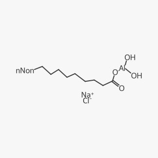 CCCCCCCCCCCCCCCCCC(=O)[O][Al]([OH])[OH].[Cl-].[Na+]